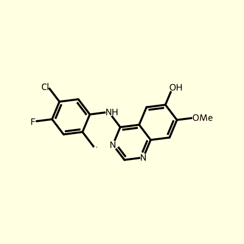 [CH2]c1cc(F)c(Cl)cc1Nc1ncnc2cc(OC)c(O)cc12